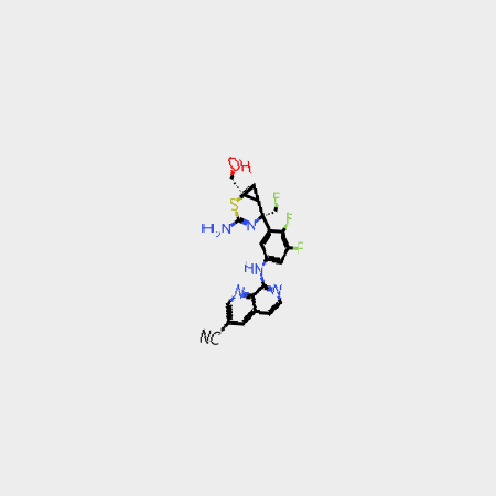 N#Cc1cnc2c(Nc3cc(F)c(F)c([C@@]4(CF)N=C(N)S[C@@]5(CO)CC54)c3)nccc2c1